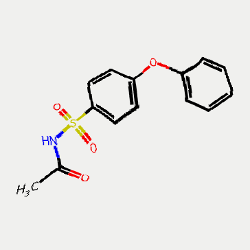 CC(=O)NS(=O)(=O)c1ccc(Oc2ccccc2)cc1